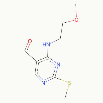 COCCNc1nc(SC)ncc1C=O